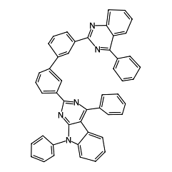 c1ccc(-c2nc(-c3cccc(-c4cccc(-c5nc(-c6ccccc6)c6c7ccccc7n(-c7ccccc7)c6n5)c4)c3)nc3ccccc23)cc1